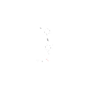 C#Cc1cccc(C#Cc2ccc(CCC(=O)OC)cc2)c1